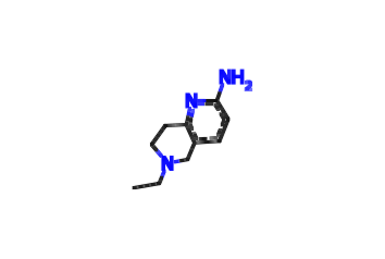 CCN1CCc2nc(N)ccc2C1